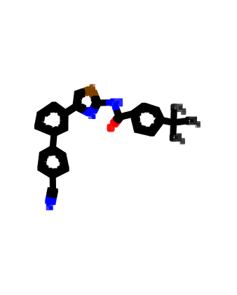 CC(C)(C)c1ccc(C(=O)Nc2nc(-c3cccc(-c4ccc(C#N)cc4)c3)cs2)cc1